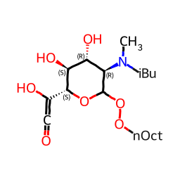 CCCCCCCCOOC1O[C@H](C(O)=C=O)[C@@H](O)[C@H](O)[C@H]1N(C)C(C)CC